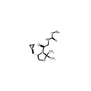 CC(C)(C)OC(=O)NCC(=O)N1[C@@H](C=C2CC2)COC1(C)C